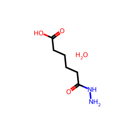 NNC(=O)CCCCC(=O)O.O